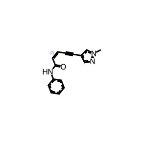 Cn1cc(C#C/C=C\C(=O)Nc2ccccc2)cn1